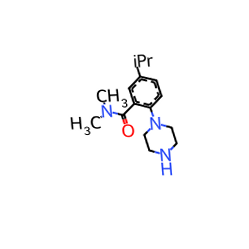 CC(C)c1ccc(N2CCNCC2)c(C(=O)N(C)C)c1